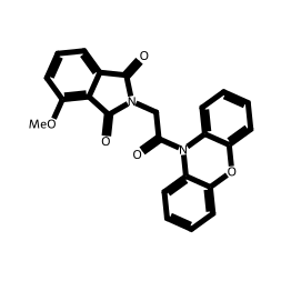 COc1cccc2c1C(=O)N(CC(=O)N1c3ccccc3Oc3ccccc31)C2=O